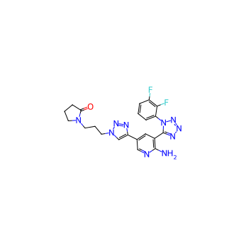 Nc1ncc(-c2cn(CCCN3CCCC3=O)nn2)cc1-c1nnnn1-c1cccc(F)c1F